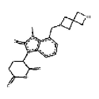 Cn1c(=O)n(C2CCC(=O)NC2=O)c2cccc(CN3CC4(CNC4)C3)c21